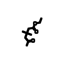 CCOC(=O)CC(C)(C)CC(C)=O